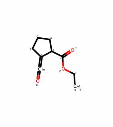 CCOC(=O)C1CCCC1=C=O